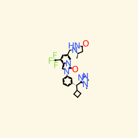 C[C@@H]1CC(=O)NN1Cc1cc(C(F)(F)F)c2cn(-c3cccc([C@H](c4nncn4C)C4CCC4)c3)c(=O)n2c1